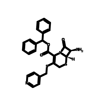 N[C@@H]1C(=O)N2C(C(=O)OC(c3ccccc3)c3ccccc3)=C(SCc3ccncc3)CS[C@H]12